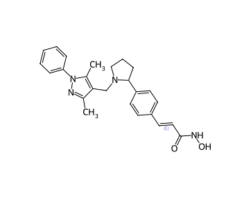 Cc1nn(-c2ccccc2)c(C)c1CN1CCCC1c1ccc(/C=C/C(=O)NO)cc1